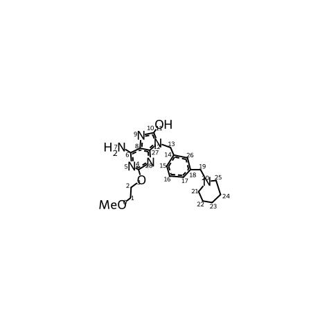 COCCOc1nc(N)c2nc(O)n(Cc3cccc(CN4CCCCC4)c3)c2n1